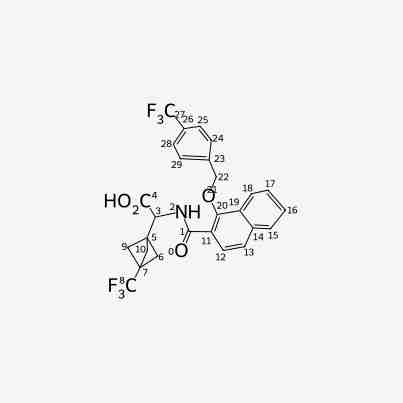 O=C(NC(C(=O)O)C12CC(C(F)(F)F)(C1)C2)c1ccc2ccccc2c1OCc1ccc(C(F)(F)F)cc1